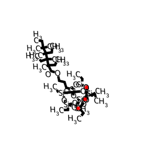 CCC(C)(C)C(C)(CC)C(C)(CC)C(C)(CC)C(=O)OCCC[Si]12O[Si]3(CC)O[Si]4(CC)O[Si]5(CC)O[Si](CC)(O3)O[Si](CC)(O[Si](CC)(O5)O[Si](CC)(O4)O1)O2